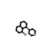 Brc1cccc2cccc(-c3ccncc3)c12